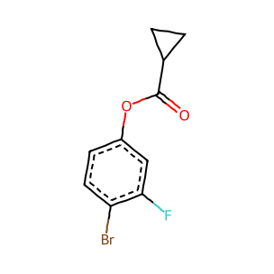 O=C(Oc1ccc(Br)c(F)c1)C1CC1